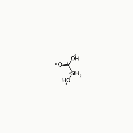 O=C(O)[SiH2]O